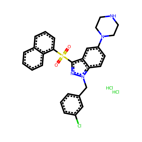 Cl.Cl.O=S(=O)(c1cccc2ccccc12)c1nn(Cc2cccc(Cl)c2)c2ccc(N3CCNCC3)cc12